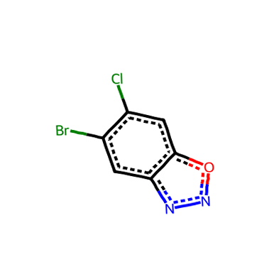 Clc1cc2onnc2cc1Br